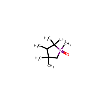 CC1C(C)(C)CP(C)(=O)C1(C)C